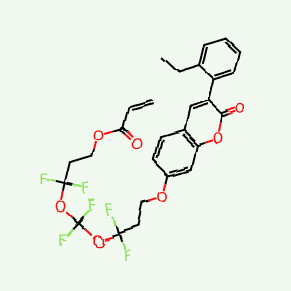 C=CC(=O)OCCC(F)(F)OC(F)(F)OC(F)(F)CCOc1ccc2cc(-c3ccccc3CC)c(=O)oc2c1